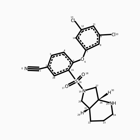 N#Cc1ccc(Oc2cc(Cl)cc(Cl)c2)c(S(=O)(=O)N2C[C@H]3CCCN[C@H]3C2)c1